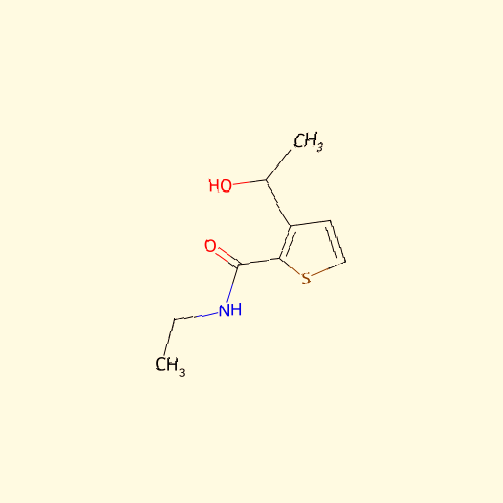 CCNC(=O)c1sccc1C(C)O